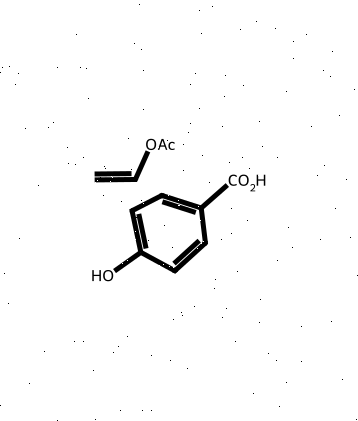 C=COC(C)=O.O=C(O)c1ccc(O)cc1